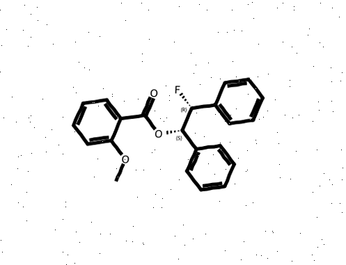 COc1ccccc1C(=O)O[C@@H](c1ccccc1)[C@H](F)c1ccccc1